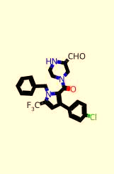 O=CC1CN(C(=O)c2c(-c3ccc(Cl)cc3)cc(C(F)(F)F)n2Cc2ccccc2)CCN1